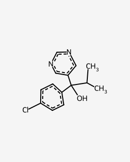 CC(C)C(O)(c1ccc(Cl)cc1)c1cncnc1